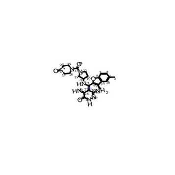 Cc1ccc2oc(/C(NC3CCN(C(=O)N4CC[S+]([O-])CC4)C3)=C3/C(=N)C(=O)NN=C3N)c(C)c2c1